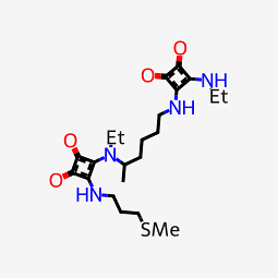 CCNc1c(NCCCCC(C)N(CC)c2c(NCCCSC)c(=O)c2=O)c(=O)c1=O